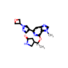 C[C@@H](Oc1nc(-c2cnn(C3COC3)c2)cc2ncn(C)c12)C1CNC(=O)C1